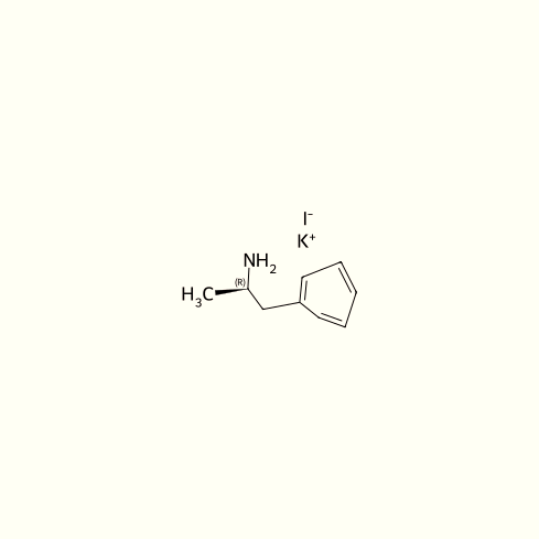 C[C@@H](N)Cc1ccccc1.[I-].[K+]